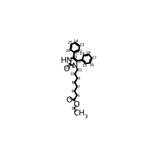 CCOC(=O)CCCCCCCn1c(-c2ccccc2)c(-c2ccccc2)[nH]c1=O